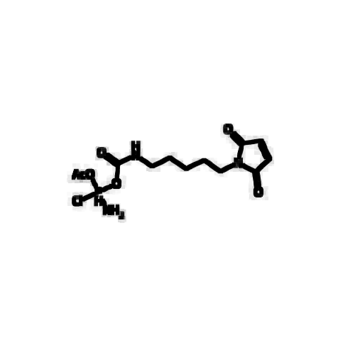 CC(=O)O[PH](N)(Cl)OC(=O)NCCCCCN1C(=O)C=CC1=O